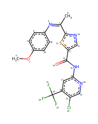 COc1ccc(N=C(C)c2ncc(C(=O)Nc3cc(C(F)(F)F)c(Cl)cn3)s2)cc1